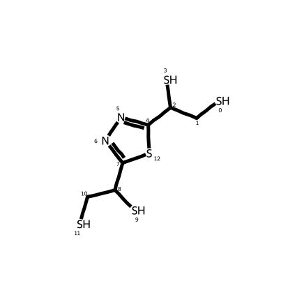 SCC(S)c1nnc(C(S)CS)s1